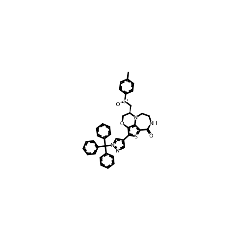 Cc1ccc([S+]([O-])C[C@@H]2COc3c(-c4cnn(C(c5ccccc5)(c5ccccc5)c5ccccc5)c4)sc4c3N2CCNC4=O)cc1